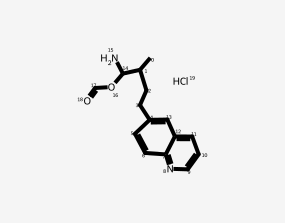 CC(CCc1ccc2ncccc2c1)C(N)OC=O.Cl